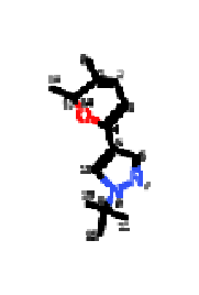 CC1=CC=C(c2cnn(C(C)(C)C)c2)OC1C